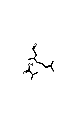 CC(C)=CCCC(C)CC=O.CC(C)C(=O)O